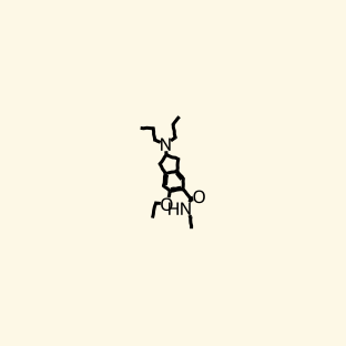 CCCN(CCC)C1Cc2cc(OCC)c(C(=O)NCC)cc2C1